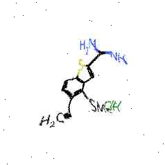 C=Cc1ccc2sc(C(=N)N)cc2c1SC.Cl